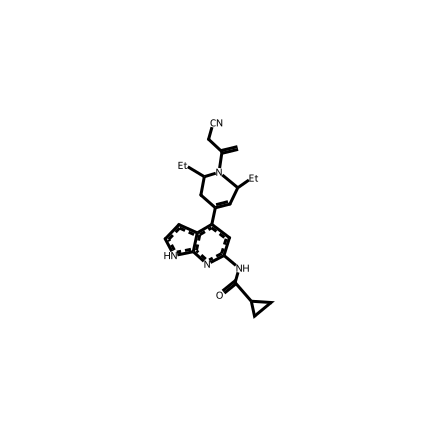 C=C(CC#N)N1C(CC)C=C(c2cc(NC(=O)C3CC3)nc3[nH]ccc23)CC1CC